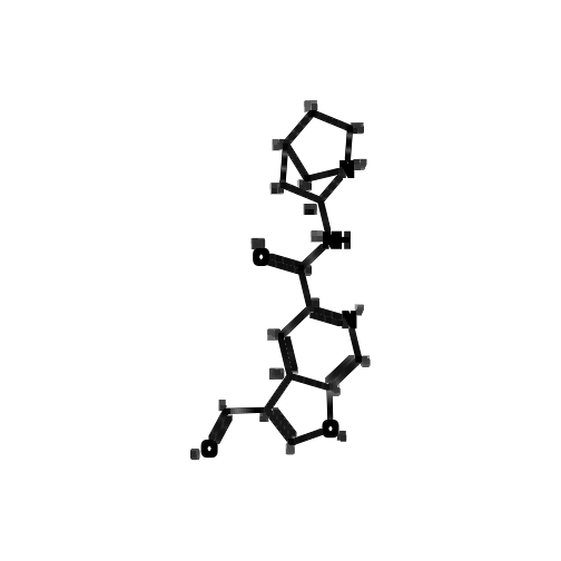 O=Cc1coc2cnc(C(=O)NC3CC4CCN3C4)cc12